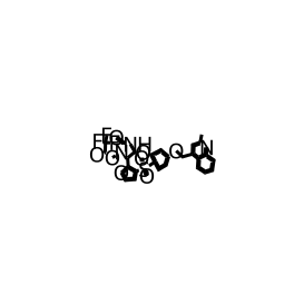 Cc1cc(COc2ccc(S(=O)(=O)c3ccoc3C3C(=O)NC(=O)N3OC(=O)C(F)(F)F)cc2)c2ccccc2n1